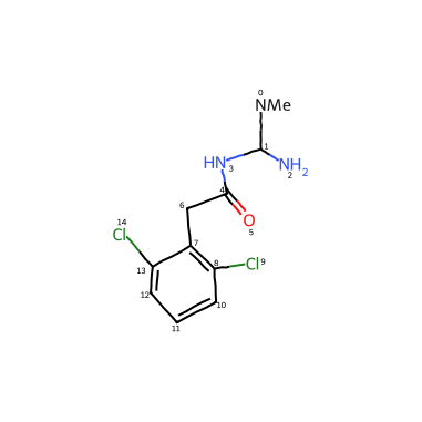 CNC(N)NC(=O)Cc1c(Cl)cccc1Cl